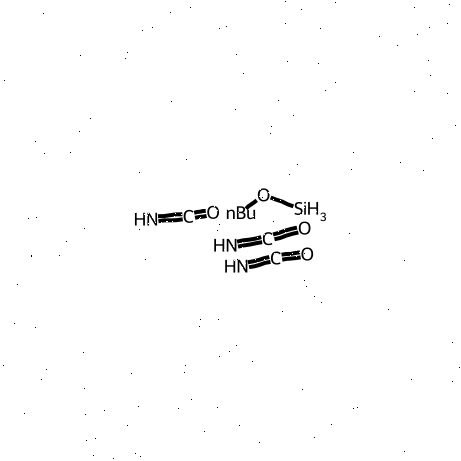 CCCCO[SiH3].N=C=O.N=C=O.N=C=O